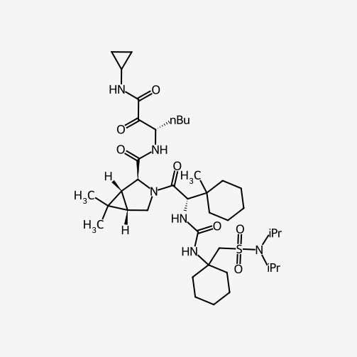 CCCC[C@H](NC(=O)[C@@H]1[C@@H]2[C@H](CN1C(=O)[C@@H](NC(=O)NC1(CS(=O)(=O)N(C(C)C)C(C)C)CCCCC1)C1(C)CCCCC1)C2(C)C)C(=O)C(=O)NC1CC1